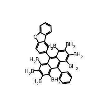 Bc1c(B)c(B)c2c(-c3ccc4oc5ccccc5c4c3)c3c(B)c(B)c(B)c(B)c3c(-c3ccccc3)c2c1B